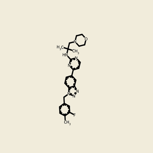 Cc1ccc(Cn2nnc3cc(-c4ccnc(NC(C)(C)CN5CCOCC5)n4)ccc32)cc1F